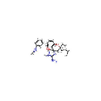 [C-]#[N+]c1cccc(-c2ccc3c(c2)C2(CC4(CCC(CC)C4)O3)N=C(N)N(C)C2=O)c1